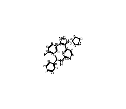 CC(Nc1nccc(-c2c(-c3ccc(F)cc3)nnn2[C@H]2CCOC2)n1)c1ccccc1